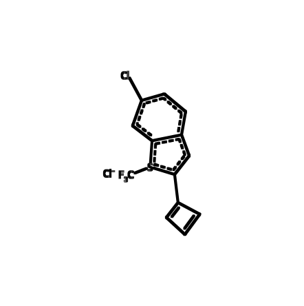 FC(F)(F)[s+]1c(C2=CC=C2)cc2ccc(Cl)cc21.[Cl-]